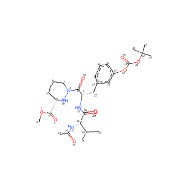 COC(=O)[C@@H]1CCCN(C(=O)[C@H](Cc2cccc(OC(=O)OC(C)(C)C)c2)NC(=O)[C@@H](NC(C)=O)C(C)C)N1